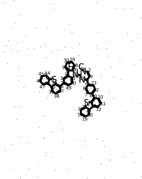 CN1C=CC(c2ccc(-c3cccc4c3sc3ccccc34)cc2)=NC1n1c2ccccc2c2cc(-c3cccc4c3sc3ccccc34)ccc21